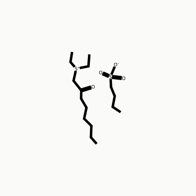 CCCCCCC(=O)C[S+](CC)CC.CCCCS(=O)(=O)[O-]